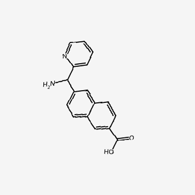 NC(c1ccc2cc(C(=O)O)ccc2c1)c1ccccn1